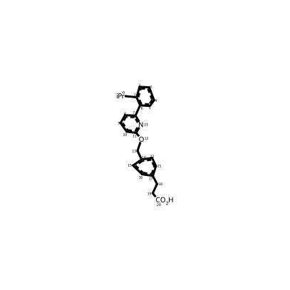 CC(C)c1ccccc1-c1cccc(OCc2ccc(CCC(=O)O)cc2)n1